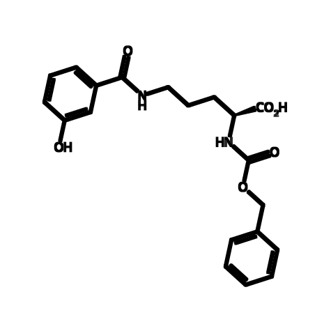 O=C(N[C@@H](CCCNC(=O)c1cccc(O)c1)C(=O)O)OCc1ccccc1